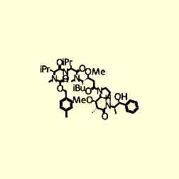 CC[C@H](C)[C@@H](C(CC(=O)N1CCC[C@H]1[C@H](OC)[C@@H](C)C(=O)N[C@H](C)[C@@H](O)c1ccccc1)OC)N(C)C(=O)[C@@H](NC(=O)[C@H](C(C)C)N(C)C(=O)OCc1ccc(C)cc1)C(C)C